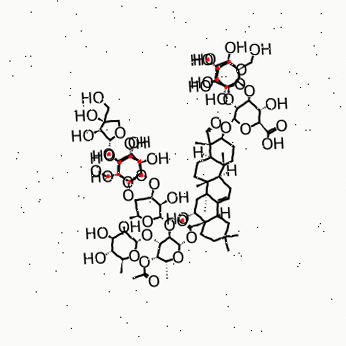 CC(=O)O[C@@H]1[C@H](O[C@@H]2O[C@@H](C)[C@H](O)[C@@H](O)[C@H]2O)[C@@H](O[C@@H]2O[C@@H](C)[C@H](O[C@@H]3OC[C@@H](O)[C@H](O[C@H]4OC[C@@](O)(CO)[C@@H]4O)[C@H]3O)[C@@H](O[C@@H]3O[C@H](CO)[C@@H](O)[C@H](O)[C@H]3O)[C@H]2O)[C@H](OC(=O)[C@]23CCC(C)(C)C[C@H]2C2=CC[C@@H]4[C@@]5(C)CC[C@H](O[C@@H]6O[C@H](C(=O)O)[C@@H](O)[C@H](O[C@@H]7OC[C@@H](O)[C@H](O)[C@H]7O)[C@H]6O[C@@H]6O[C@H](CO)[C@H](O)[C@H](O)[C@H]6O)[C@@](C)(C=O)[C@@H]5CC[C@@]4(C)[C@]2(C)C[C@H]3O)O[C@@H]1C